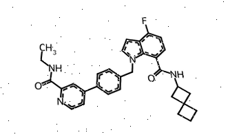 CCNC(=O)c1cc(-c2ccc(Cn3ccc4c(F)ccc(C(=O)NC5CC6(CCC6)C5)c43)cc2)ccn1